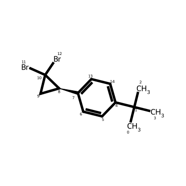 CC(C)(C)c1ccc([C@H]2CC2(Br)Br)cc1